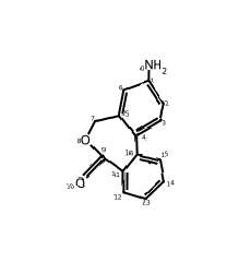 Nc1ccc2c(c1)COC(=O)c1ccccc1-2